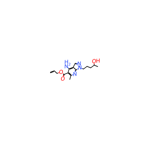 C=CCOC(=O)c1c(C)nc2c(cnn2CCCC(C)O)c1N